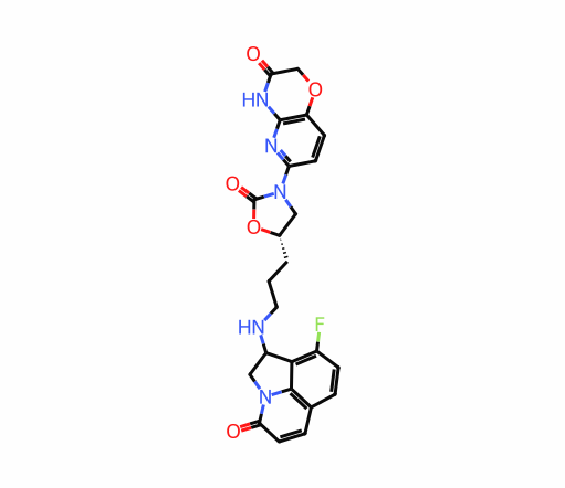 O=C1COc2ccc(N3C[C@H](CCCNC4Cn5c(=O)ccc6ccc(F)c4c65)OC3=O)nc2N1